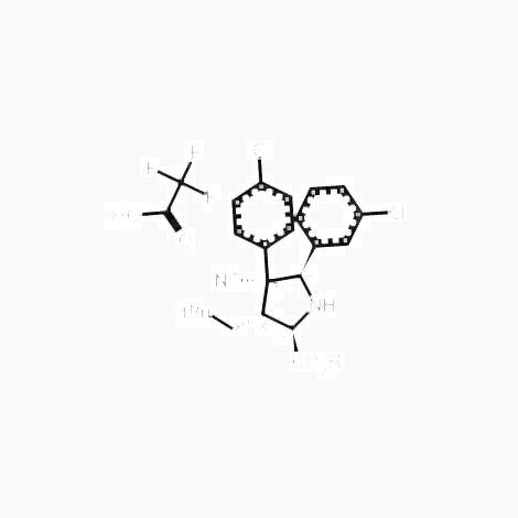 CC(C)(C)C[C@H]1[C@H](C(=O)O)N[C@H](c2cccc(Cl)c2)[C@]1(C#N)c1ccc(Cl)cc1.O=C(O)C(F)(F)F